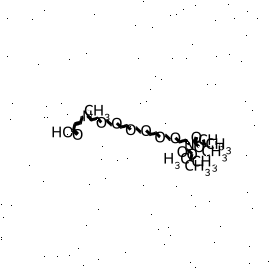 CN(C/C=C/C(=O)O)CCOCCOCCOCCOCCOCCOCCN(C(=O)OC(C)(C)C)C(=O)OC(C)(C)C